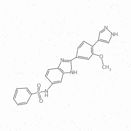 COc1cc(-c2nc3ccc(NS(=O)(=O)c4ccccc4)cc3[nH]2)ccc1-c1cn[nH]c1